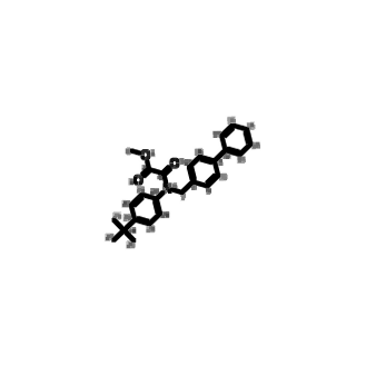 COC(=O)C(=O)N(Cc1ccc(-c2ccccc2)cc1)c1ccc(C(C)(C)C)cc1